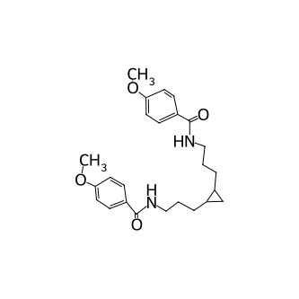 COc1ccc(C(=O)NCCCC2CC2CCCNC(=O)c2ccc(OC)cc2)cc1